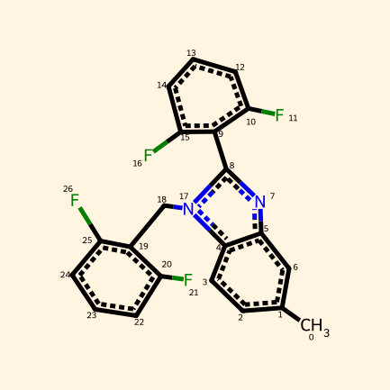 Cc1ccc2c(c1)nc(-c1c(F)cccc1F)n2Cc1c(F)cccc1F